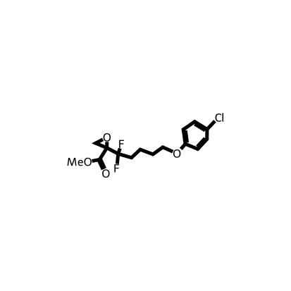 COC(=O)C1(C(F)(F)CCCCOc2ccc(Cl)cc2)CO1